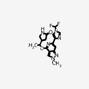 CC(Oc1nc(-c2cn(C(F)F)cn2)cc2nn(C)cc12)C1CNC(=O)C1